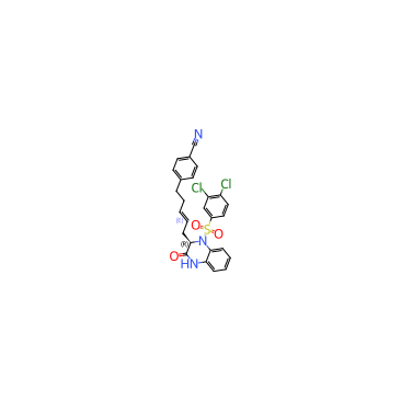 N#Cc1ccc(CC/C=C/C[C@@H]2C(=O)Nc3ccccc3N2S(=O)(=O)c2ccc(Cl)c(Cl)c2)cc1